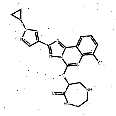 O=C1NCCNC[C@@H]1Nc1nc2c(C(F)(F)F)cccc2c2nc(-c3cnn(C4CC4)c3)nn12